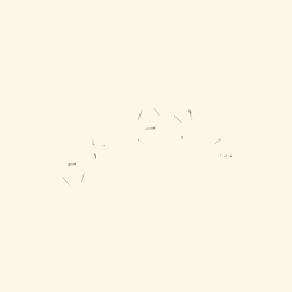 COC(=O)COc1c(C(=O)O)sc(-c2cccc(NC3CCN(S(=O)(=O)Cc4ccccc4Cl)CC3)c2)c1Br